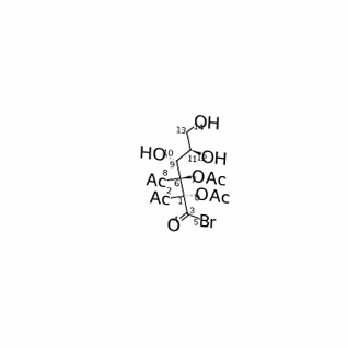 CC(=O)O[C@@](C(C)=O)(C(=O)Br)[C@](OC(C)=O)(C(C)=O)[C@H](O)[C@H](O)CO